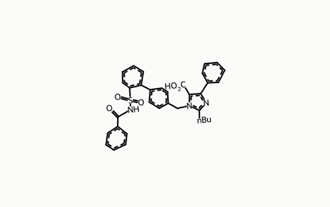 CCCCc1nc(-c2ccccc2)c(C(=O)O)n1Cc1ccc(-c2ccccc2S(=O)(=O)NC(=O)c2ccccc2)cc1